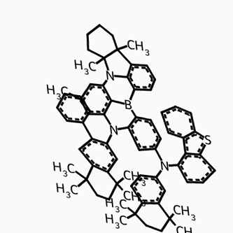 Cc1cc2c3c(c1)N1c4c(cccc4C4(C)CCCCC14C)B3c1ccc(N(c3ccc4c(c3)C(C)(C)CCC4(C)C)c3cccc4sc5ccccc5c34)cc1N2c1cc2c(cc1-c1ccccc1)C(C)(C)CCC2(C)C